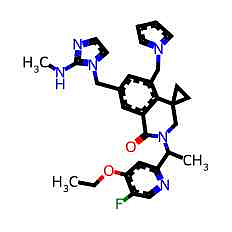 CCOc1cc(C(C)N2CC3(CC3)c3c(Cn4cccc4)cc(Cn4ccnc4NC)cc3C2=O)ncc1F